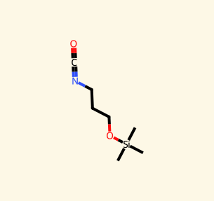 C[Si](C)(C)OCCCN=C=O